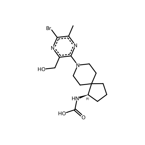 Cc1nc(N2CCC3(CCC[C@H]3NC(=O)O)CC2)c(CO)nc1Br